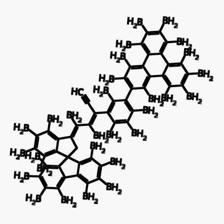 BC(/C(B)=C1\CC2(c3c(B)c(B)c(B)c(B)c31)c1c(B)c(B)c(B)c(B)c1-c1c(B)c(B)c(B)c(B)c12)=C(/C#C)c1c(B)c(B)c(B)c(-c2c(B)c(B)c3c4c(B)c(B)c(B)c(B)c4c4c(B)c(B)c(B)c(B)c4c3c2B)c1B